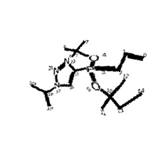 C=CC=P(OC(C)(C)C)(OC(C)(C)CC)c1cn(C(C)C)nn1